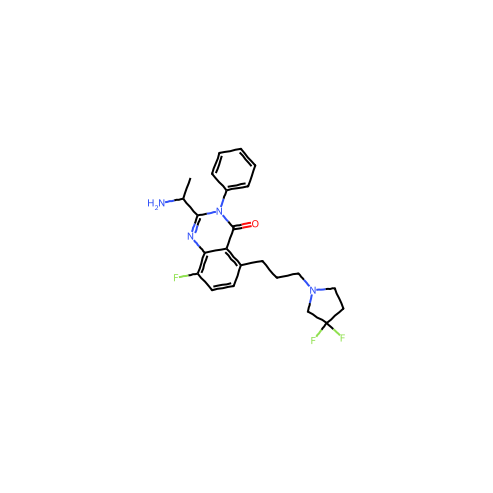 CC(N)c1nc2c(F)ccc(CCCN3CCC(F)(F)C3)c2c(=O)n1-c1ccccc1